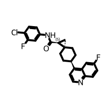 O=C(Nc1ccc(Cl)c(F)c1)[C@H]1C[C@]12CC[C@H](c1ccnc3ccc(F)cc31)CC2